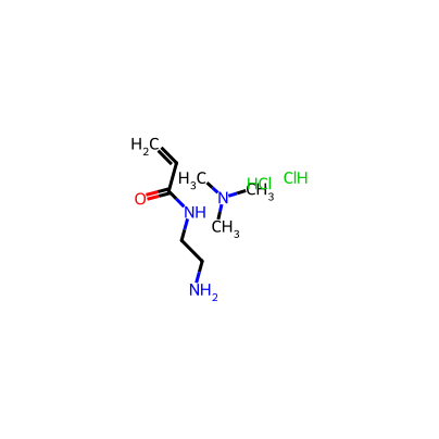 C=CC(=O)NCCN.CN(C)C.Cl.Cl